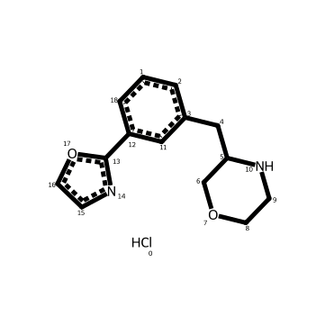 Cl.c1cc(CC2COCCN2)cc(-c2ncco2)c1